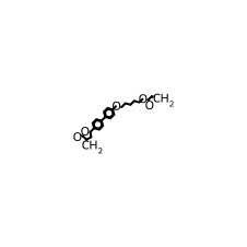 C=CC(=O)OCCCCCOc1ccc(-c2ccc(C3CC(=C)C(=O)O3)cc2)cc1